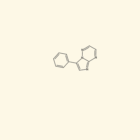 c1ccc(-c2cnc3nccnn23)cc1